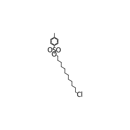 Cc1ccc(S(=O)(=O)OCCCCCCCCCCCCCl)cc1